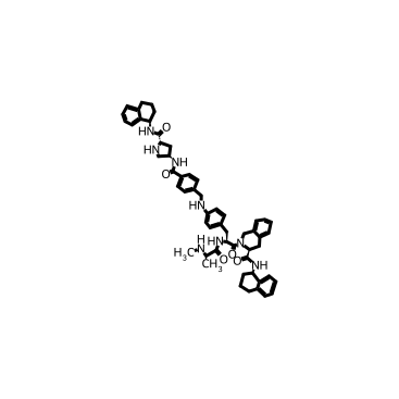 CN[C@@H](C)C(=O)N[C@@H](Cc1ccc(NCc2ccc(C(=O)N[C@@H]3CN[C@H](C(=O)N[C@@H]4CCCc5ccccc54)C3)cc2)cc1)C(=O)N1Cc2ccccc2C[C@H]1C(=O)N[C@@H]1CCCc2ccccc21